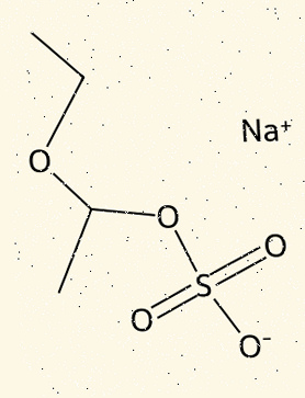 CCOC(C)OS(=O)(=O)[O-].[Na+]